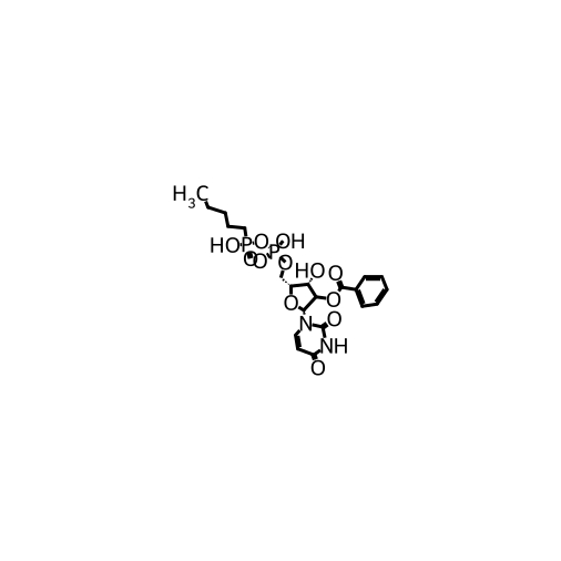 CCCCCP(=O)(O)OP(=O)(O)OC[C@H]1O[C@@H](n2ccc(=O)[nH]c2=O)C(OC(=O)c2ccccc2)[C@H]1O